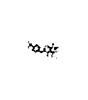 Cn1c(=O)[nH]c(N)c(NC(=O)Cc2ccc(C(F)(F)F)cc2)c1=O